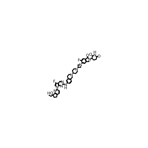 CC[C@@]1(O)CCc2ccc(-n3cc(F)c4cnc(Nc5ccc6c(c5)CCN(C5CCN(C7CN(c8cc9c(cc8F)C(=O)N(C8CCC(=O)NC8=O)C9)C7)CC5)C6)nc43)nc21